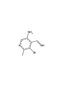 Cc1ncc(N)c(C=N)c1Br